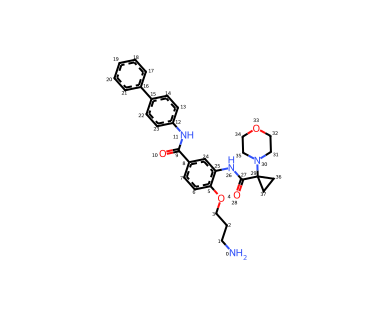 NCCCOc1ccc(C(=O)Nc2ccc(-c3ccccc3)cc2)cc1NC(=O)C1(N2CCOCC2)CC1